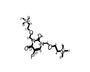 C[Si](C)(C)CCOCn1cc(F)c(=O)n(COCC[Si](C)(C)C)c1=O